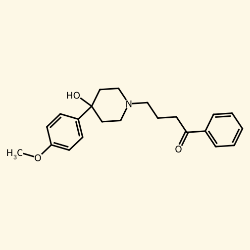 COc1ccc(C2(O)CCN(CCCC(=O)c3ccccc3)CC2)cc1